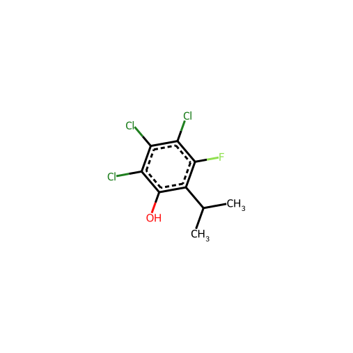 CC(C)c1c(O)c(Cl)c(Cl)c(Cl)c1F